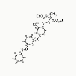 CCOC(=O)C(C)(CCc1ccc(Sc2cccc(OCc3ccccc3)c2)cc1Cl)C(=O)OCC